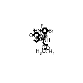 CC1(C)OCC(CNS(=O)(=O)Nc2c(Nc3ccc(Br)cc3F)c(F)c(=O)n3c2CCC3)O1